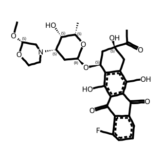 CO[C@@H]1CN([C@H]2C[C@H](O[C@H]3C[C@](O)(C(C)=O)Cc4c(O)c5c(c(O)c43)C(=O)c3c(F)cccc3C5=O)O[C@@H](C)[C@H]2O)CCO1